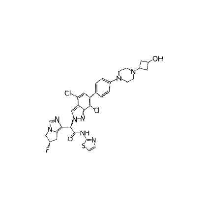 O=C(Nc1nccs1)[C@@H](c1ncn2c1C[C@@H](F)C2)n1cc2c(Cl)cc(-c3ccc(N4CCN(C5CC(O)C5)CC4)cc3)c(Cl)c2n1